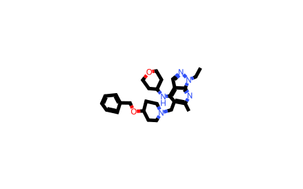 CCn1ncc2c(NC3CCOCC3)c(CN3CCC(OCc4ccccc4)CC3)c(C)nc21